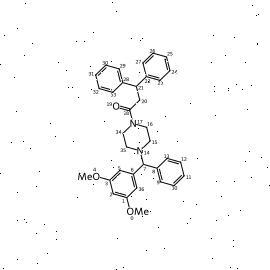 COc1cc(OC)cc(C(c2ccccc2)N2CCN(C(=O)CC(c3ccccc3)c3ccccc3)CC2)c1